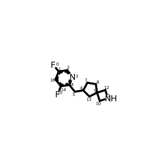 Fc1cnc(CC2CCC3(CNC3)C2)c(F)c1